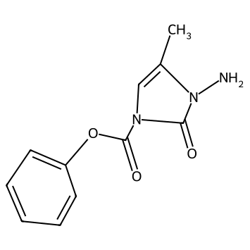 Cc1cn(C(=O)Oc2ccccc2)c(=O)n1N